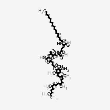 CCCCCCCCCCCCCCCCCC(=O)N[C@@H](CCC(=O)N[C@@H](CCC(=O)C([C]=O)C[C@H](NC(=O)CCC(=O)Oc1c(C)c(C)c2c(c1C)CC[C@@](C)(CCC[C@H](C)CCC[C@H](C)CCCC(C)C)O2)C(=O)O)C(=O)O)C(=O)O